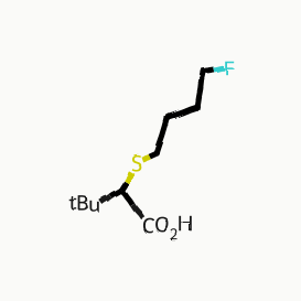 CC(C)(C)C(SCCCCF)C(=O)O